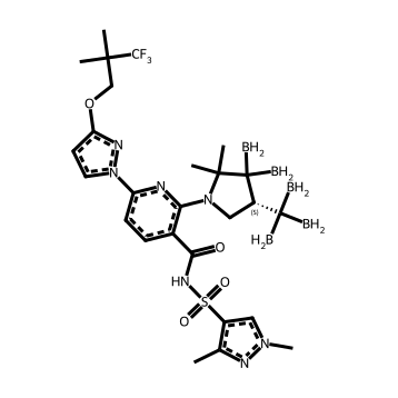 BC(B)(B)[C@@H]1CN(c2nc(-n3ccc(OCC(C)(C)C(F)(F)F)n3)ccc2C(=O)NS(=O)(=O)c2cn(C)nc2C)C(C)(C)C1(B)B